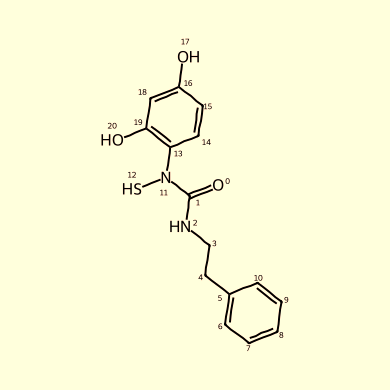 O=C(NCCc1ccccc1)N(S)c1ccc(O)cc1O